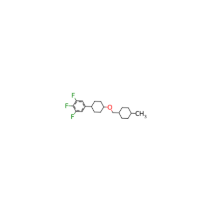 CC1CCC(COC2CCC(c3cc(F)c(F)c(F)c3)CC2)CC1